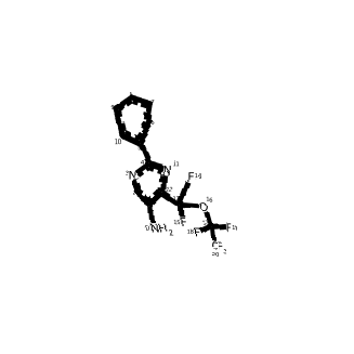 Nc1cnc(-c2ccccc2)nc1C(F)(F)OC(F)(F)C(F)(F)F